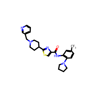 O=C(Nc1cc(C(F)(F)F)ccc1N1CCCC1)c1csc(C2CCN(Cc3cccnc3)CC2)n1